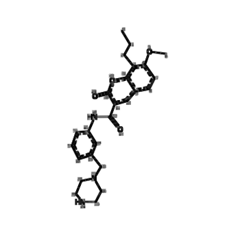 CCCc1c(OC)ccc2cc(C(=O)Nc3cccc(CN4CCNCC4)c3)c(=O)oc12